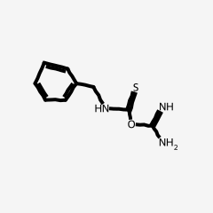 N=C(N)OC(=S)NCc1ccccc1